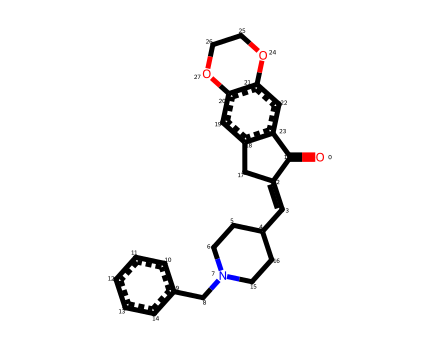 O=C1C(=CC2CCN(Cc3ccccc3)CC2)Cc2cc3c(cc21)OCCO3